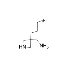 CC(C)CCCC1(CN)CNC1